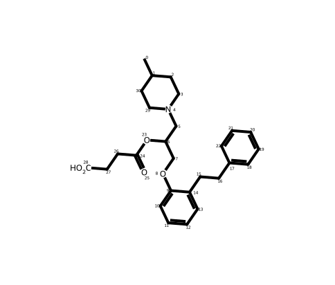 CC1CCN(CC(COc2ccccc2CCc2ccccc2)OC(=O)CCC(=O)O)CC1